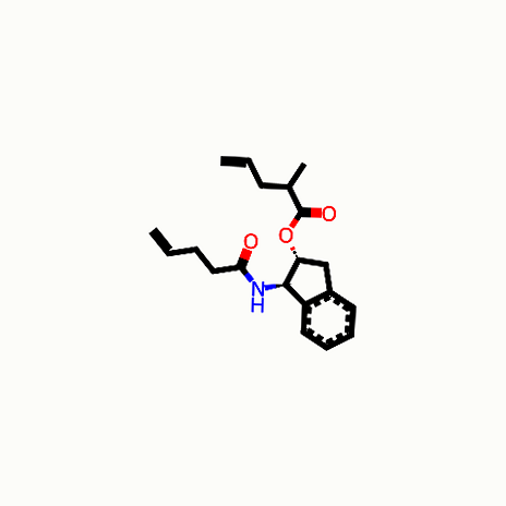 C=CCCC(=O)N[C@@H]1c2ccccc2C[C@H]1OC(=O)C(C)CC=C